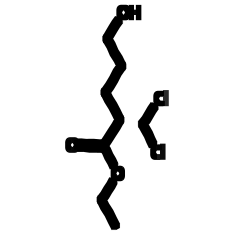 CCOC(=O)CCCCO.ClCCl